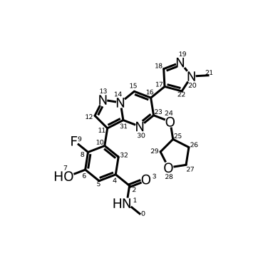 CNC(=O)c1cc(O)c(F)c(-c2cnn3cc(-c4cnn(C)c4)c(OC4CCOC4)nc23)c1